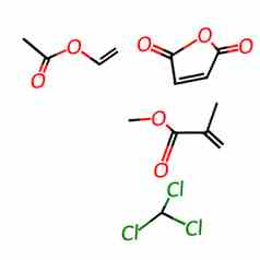 C=C(C)C(=O)OC.C=COC(C)=O.ClC(Cl)Cl.O=C1C=CC(=O)O1